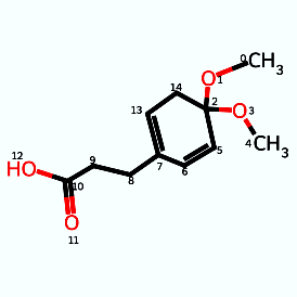 COC1(OC)C=CC(CCC(=O)O)=CC1